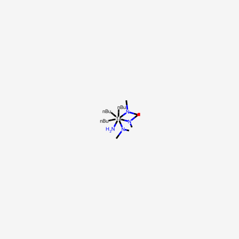 CCC[CH2][Ta]([NH2])([CH2]CCC)([CH2]CCC)([N](C)C)([N](C)C)[N](C)C